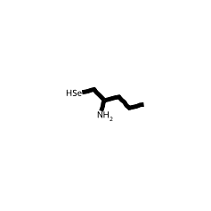 CCCC(N)C[SeH]